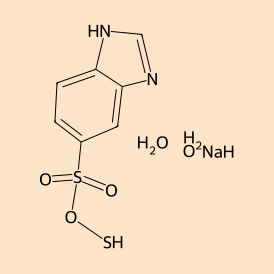 O.O.O=S(=O)(OS)c1ccc2[nH]cnc2c1.[NaH]